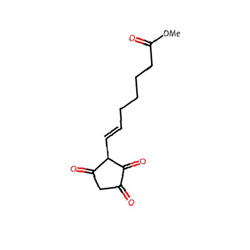 COC(=O)CCCCC=CC1C(=O)CC(=O)C1=O